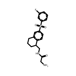 NCC(=O)NCC1CCCc2cc(S(=O)(=O)c3cccc(F)c3)ccc21